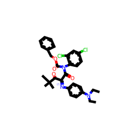 CCN(CC)c1ccc(/N=C(\C(=O)N(C(=O)OCc2ccccc2)c2ccc(Cl)cc2Cl)C(=O)C(C)(C)C)cc1